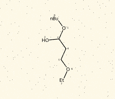 CCCCOC(O)CCOCC